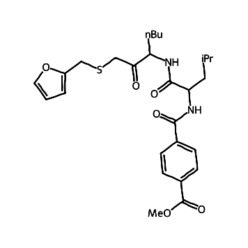 CCCCC(NC(=O)C(CC(C)C)NC(=O)c1ccc(C(=O)OC)cc1)C(=O)CSCc1ccco1